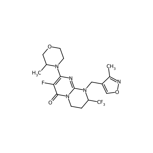 Cc1nocc1CN1c2nc(N3CCOCC3C)c(F)c(=O)n2CCC1C(F)(F)F